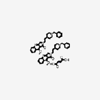 COc1c2c(nc3ccccc13)CN(CCC1CCN(Cc3ccccc3)CC1)C2=O.COc1c2c(nc3ccccc13)CN(CCC1CCN(Cc3ccccc3)CC1)C2=O.O=C(O)/C=C/C(=O)O